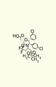 CC(C)(C)S(=O)(=O)CC(CC(F)(F)F)N1C(=O)[C@H](CC(=O)O)O[C@H](c2cccc(Cl)c2)[C@H]1c1ccc(Cl)cc1